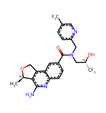 C[C@H]1OCc2c1c(N)nc1ccc(C(=O)N(Cc3ccc(C(F)(F)F)cn3)C[C@H](O)C(F)(F)F)cc21